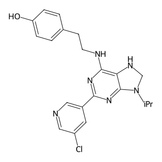 CC(C)N1CNc2c(NCCc3ccc(O)cc3)nc(-c3cncc(Cl)c3)nc21